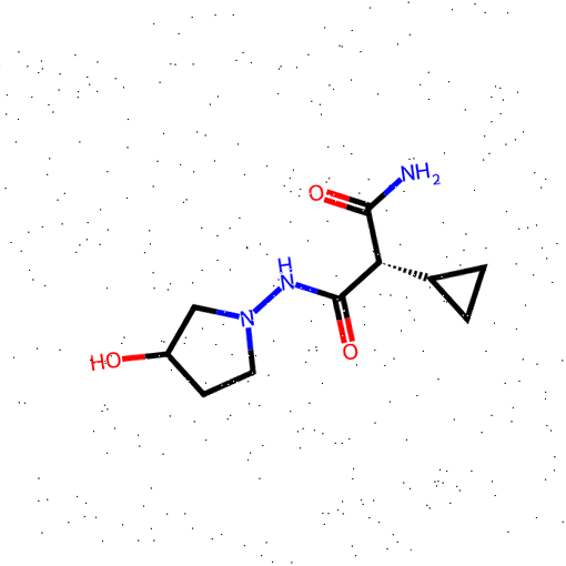 NC(=O)[C@@H](C(=O)NN1CCC(O)C1)C1CC1